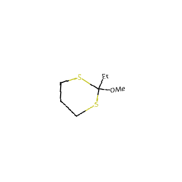 CCC1(OC)SCCCS1